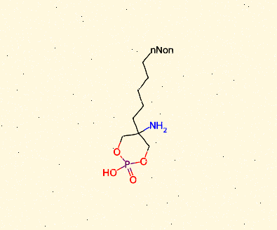 CCCCCCCCCCCCCCC1(N)COP(=O)(O)OC1